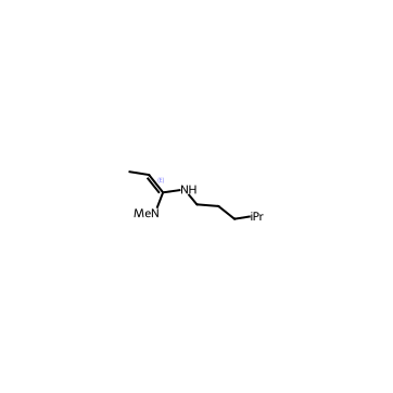 C/C=C(\NC)NCCCC(C)C